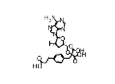 Nc1ncnc2c1ncn2[C@@H]1O[C@H](COC(Cc2ccc(CCC(=O)O)cc2)(C(=O)O)C(=O)O)C[C@@H]1F